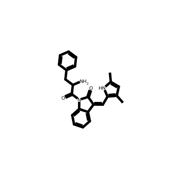 Cc1cc(C)c(/C=C2\C(=O)N(C(=O)C(N)Cc3ccccc3)c3ccccc32)[nH]1